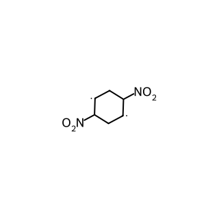 O=[N+]([O-])C1[CH]CC([N+](=O)[O-])[CH]C1